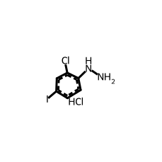 Cl.NNc1ccc(I)cc1Cl